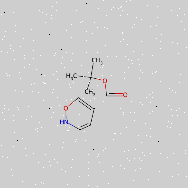 C1=CNOC=C1.CC(C)(C)OC=O